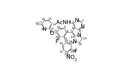 CC(=O)Nc1ncnc2c1c(-c1ccc(Oc3cccc(C)n3)c(F)c1)c1n2CCN1c1cccc([N+](=O)[O-])c1F